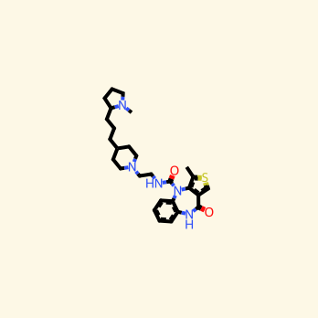 Cc1scc2c1N(C(=O)NCCN1CCC(CCCC3CCCN3C)CC1)c1ccccc1NC2=O